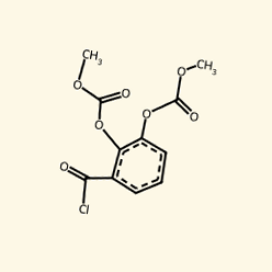 COC(=O)Oc1cccc(C(=O)Cl)c1OC(=O)OC